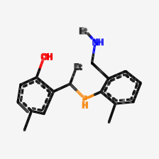 CCNCc1cccc(C)c1PC(CC)c1cc(C)ccc1O